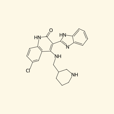 O=c1[nH]c2ccc(Cl)cc2c(NCC2CCCNC2)c1-c1nc2ccccc2[nH]1